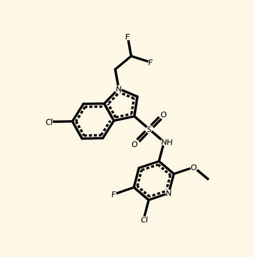 COc1nc(Cl)c(F)cc1NS(=O)(=O)c1cn(CC(F)F)c2cc(Cl)ccc12